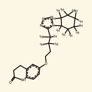 [2H]C([2H])(CCOc1ccc2c(c1)CCC(=O)N2)C([2H])([2H])c1nnnn1C1([2H])C([2H])([2H])C([2H])([2H])C([2H])([2H])C([2H])([2H])C1([2H])[2H]